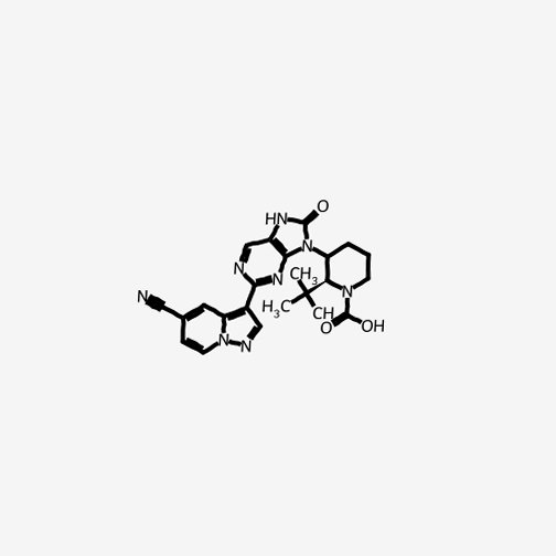 CC(C)(C)[C@H]1C(n2c(=O)[nH]c3cnc(-c4cnn5ccc(C#N)cc45)nc32)CCCN1C(=O)O